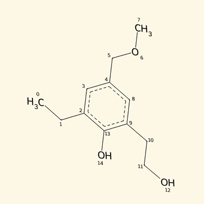 CCc1cc(COC)cc(CCO)c1O